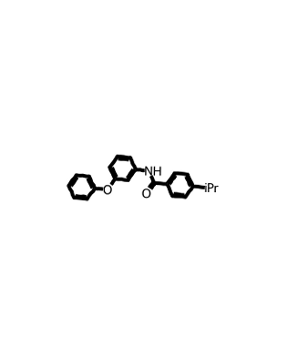 CC(C)c1ccc(C(=O)Nc2cccc(Oc3ccccc3)c2)cc1